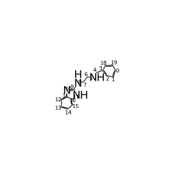 c1ccc(CNCCNc2nc3ccccc3[nH]2)cc1